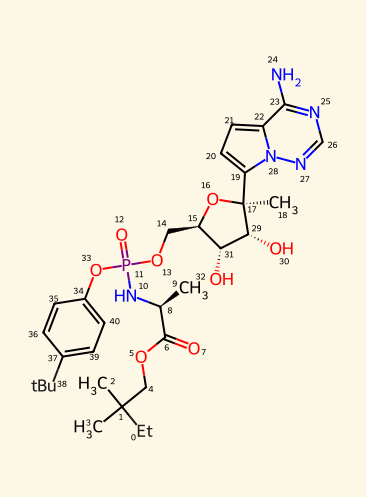 CCC(C)(C)COC(=O)[C@H](C)NP(=O)(OC[C@H]1O[C@@](C)(c2ccc3c(N)ncnn23)[C@H](O)[C@@H]1O)Oc1ccc(C(C)(C)C)cc1